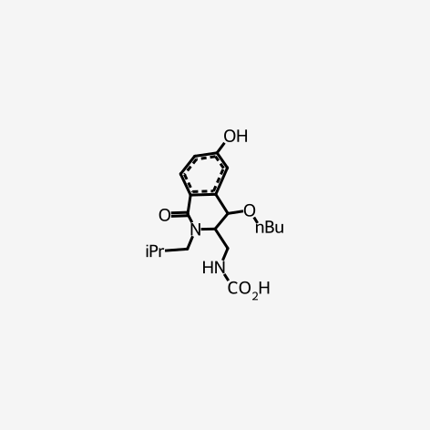 CCCCOC1c2cc(O)ccc2C(=O)N(CC(C)C)C1CNC(=O)O